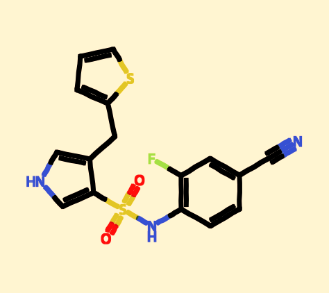 N#Cc1ccc(NS(=O)(=O)c2c[nH]cc2Cc2cccs2)c(F)c1